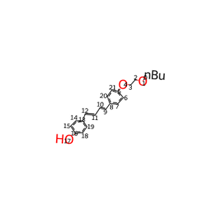 CCCCOCCOc1ccc(C=CC=Cc2ccc(O)cc2)cc1